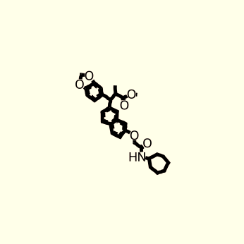 COC(=O)C(C)C(c1ccc2c(c1)OCO2)c1ccc2ccc(OCC(=O)NC3CCCCCC3)cc2c1